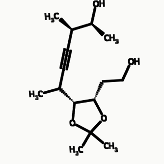 CC(C#C[C@@H](C)[C@H](C)O)[C@H]1OC(C)(C)O[C@H]1CCO